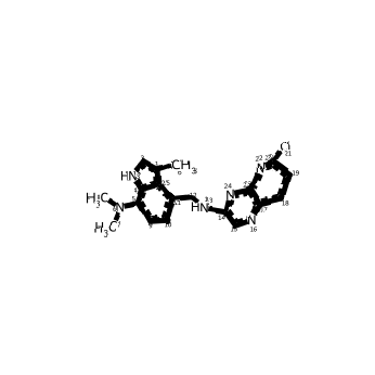 Cc1c[nH]c2c(N(C)C)ccc(CNc3cnc4ccc(Cl)nc4n3)c12